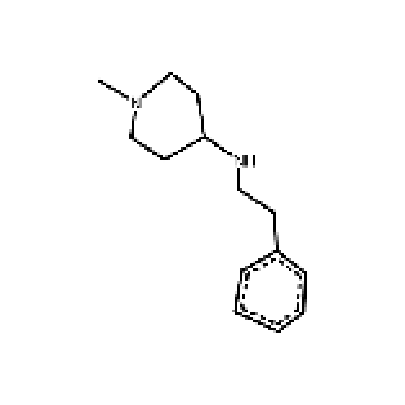 CN1CCC(NCCc2ccccc2)CC1